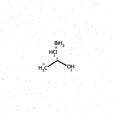 CCO.Cl.[BiH3]